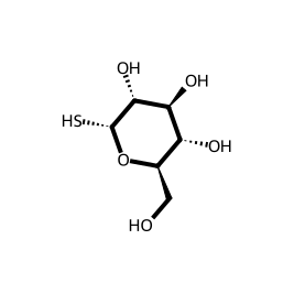 OC[C@H]1O[C@H](S)[C@H](O)[C@@H](O)[C@@H]1O